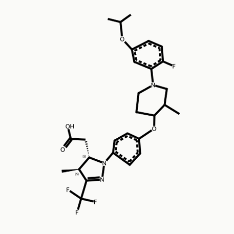 CC(C)Oc1ccc(F)c(N2CCC(Oc3ccc(N4N=C(C(F)(F)F)[C@@H](C)[C@@H]4CC(=O)O)cc3)C(C)C2)c1